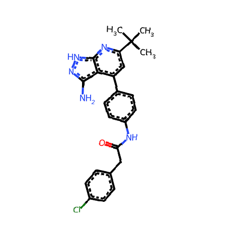 CC(C)(C)c1cc(-c2ccc(NC(=O)Cc3ccc(Cl)cc3)cc2)c2c(N)n[nH]c2n1